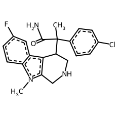 Cn1c2c(c3cc(F)ccc31)C(C(C)(C(N)=O)c1ccc(Cl)cc1)CNC2